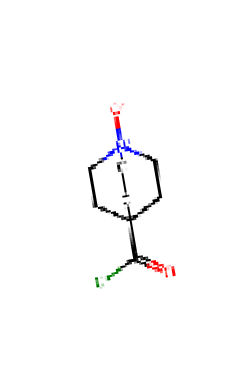 O=C(Cl)C12CC[N+]([O-])(CC1)CC2